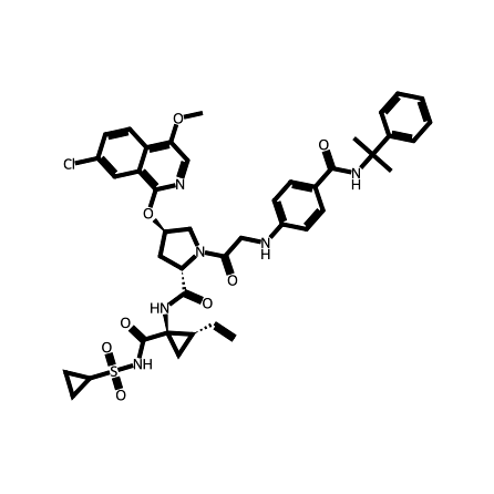 C=C[C@@H]1C[C@]1(NC(=O)[C@@H]1C[C@@H](Oc2ncc(OC)c3ccc(Cl)cc23)CN1C(=O)CNc1ccc(C(=O)NC(C)(C)c2ccccc2)cc1)C(=O)NS(=O)(=O)C1CC1